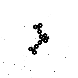 CC1(C)c2ccccc2-c2c(N(c3ccc(-c4ccc(-n5c6ccccc6c6ccccc65)cc4)cc3)c3ccc(-c4ccc(-n5c6ccccc6c6ccccc65)cc4)cc3)cccc21